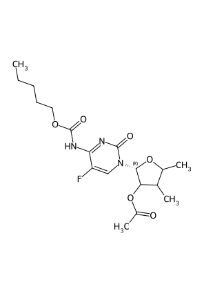 CCCCCOC(=O)Nc1nc(=O)n([C@@H]2OC(C)C(C)C2OC(C)=O)cc1F